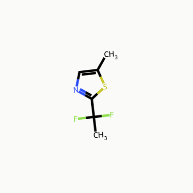 Cc1cnc(C(C)(F)F)s1